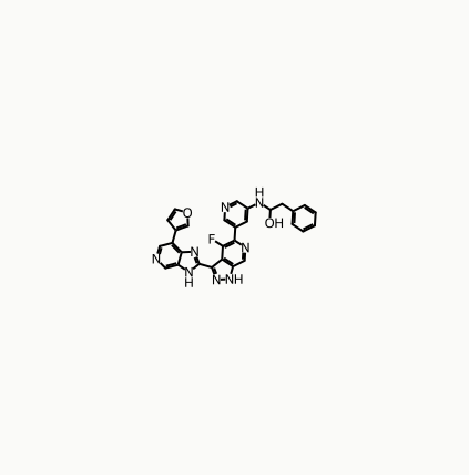 OC(Cc1ccccc1)Nc1cncc(-c2ncc3[nH]nc(-c4nc5c(-c6ccoc6)cncc5[nH]4)c3c2F)c1